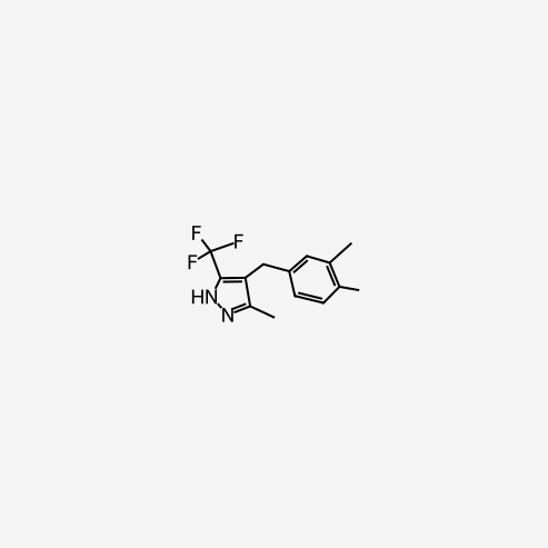 Cc1ccc(Cc2c(C)n[nH]c2C(F)(F)F)cc1C